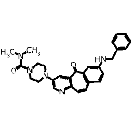 CN(C)C(=O)N1CCN(c2cnc3ccc4ccc(NCc5ccccc5)cc4c(=O)c3c2)CC1